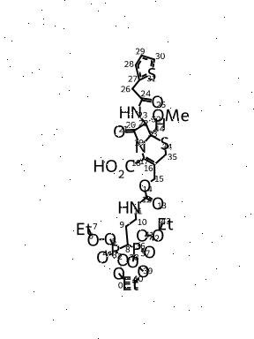 CCOOP(=O)(OOCC)C(CCNC(=O)OCC1=C(C(=O)O)N2C(=O)[C@](NC(=O)Cc3cccs3)(OC)[C@@H]2SC1)P(=O)(OOCC)OOCC